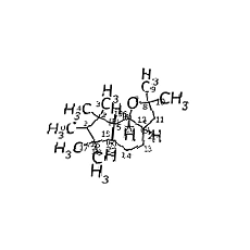 CC1C(C)(C)[C@@H]2[C@@H]3OC(C)(C)C[C@@H]3CC[C@H]2C1(C)C